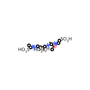 Cc1cc(-n2n3c4ccc5cc(S(=O)(=O)O)ccc5c4n23)c(C(=O)c2ccccc2)cc1N=Nc1ccc(C=Cc2ccc(-n3n4c5cc(S(=O)(=O)O)c6ccccc6c5n34)cc2S(=O)(=O)O)c(S(=O)(=O)O)c1